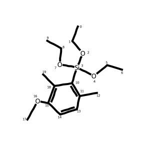 CCO[Si](OCC)(OCC)c1c(C)ccc(OC)c1C